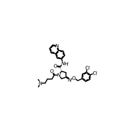 CN(C)CCCC(=O)N1C/C(=N/OCc2ccc(Cl)c(Cl)c2)C[C@H]1C(=O)Nc1ccc2ncccc2c1